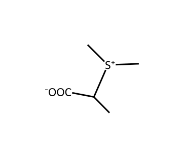 CC(C(=O)[O-])[S+](C)C